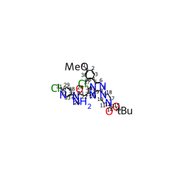 COc1ccc(-c2cnc(N3CCN(C(=O)OC(C)(C)C)CC3)c3nc(CC(=O)N(N)c4ccc(Cl)nc4)cn23)c(Cl)c1